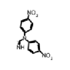 N=[C]N(c1ccc([N+](=O)[O-])cc1)c1ccc([N+](=O)[O-])cc1